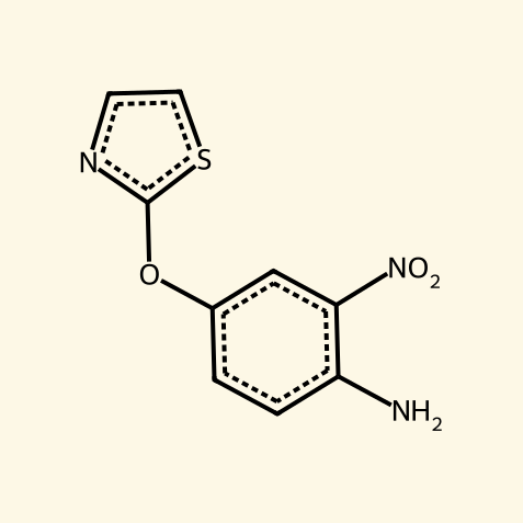 Nc1ccc(Oc2nccs2)cc1[N+](=O)[O-]